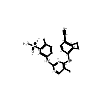 Cc1ccc(Nc2ncc(C)c(Nc3ccc(C#N)c4c3CC4)n2)cc1S(N)(=O)=O